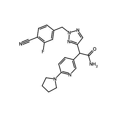 N#Cc1ccc(Cn2ncc(C(C(N)=O)c3ccc(N4CCCC4)nc3)n2)cc1F